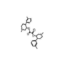 Cc1cccc(C2CCN(C)CC2OC(=O)C(=O)OC2CN(C)CCC2c2cccc(C)c2)c1